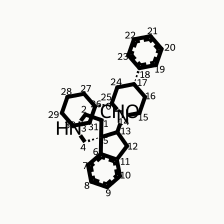 O=C[C@@H]1CNC[C@]12c1ccccc1CC2N1CC[C@@H](c2ccccc2)C[C@H]1C1CCCCC1